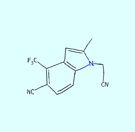 Cc1cc2c(C(F)(F)F)c(C#N)ccc2n1CC#N